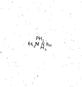 N.N.P.[Ru]